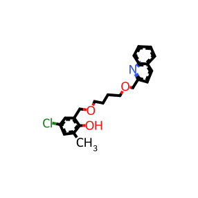 Cc1cc(Cl)cc(COCCCCOCc2ccc3ccccc3n2)c1O